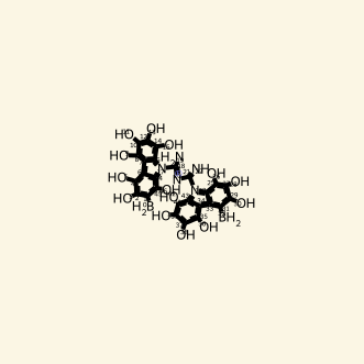 Bc1c(O)c(O)c2c3c(O)c(O)c(O)c(O)c3n(/C(N)=N/C(=N)n3c4c(O)c(O)c(O)c(B)c4c4c(O)c(O)c(O)c(O)c43)c2c1O